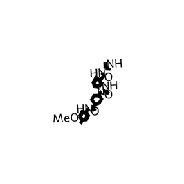 COc1cc(NC(=O)C2CCC(n3c(=O)[nH]c4c(C(=O)NC5CNC5)cccc43)CC2)ccc1C